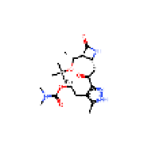 Cc1[nH]nc(C(=O)C[C@H]2NC(=O)[C@@H]2[C@@H](C)O[Si](C)(C)C(C)(C)C)c1CCOC(=O)N(C)C